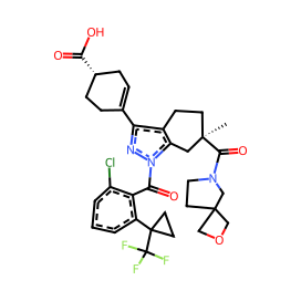 C[C@@]1(C(=O)N2CCC3(COC3)C2)CCc2c(C3=CC[C@@H](C(=O)O)CC3)nn(C(=O)c3c(Cl)cccc3C3(C(F)(F)F)CC3)c2C1